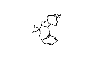 FC(F)(F)c1nc2n(c1-c1ccccc1)CCNC2